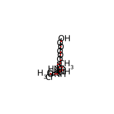 COc1ccc(Nc2nc(NC3CCCCCC3)nc(NC3CCN(C(C)CCOCCOCCOCCOCCOCCO)CC3)n2)cc1Cl